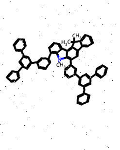 Cn1c2c(-c3cccc(-c4cc(-c5ccccc5)cc(-c5ccccc5)c4)c3)cccc2c2c3c(cc(-c4cccc(-c5cc(-c6ccccc6)cc(-c6ccccc6)c5)c4)c21)-c1ccccc1C3(C)C